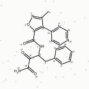 Cc1noc(C(=O)NC(Cc2ccccc2)C(=O)C(N)=O)c1-c1ccncn1